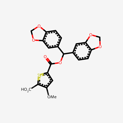 COc1cc(C(=O)OC(c2ccc3c(c2)OCO3)c2ccc3c(c2)OCO3)sc1C(=O)O